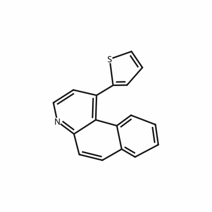 c1csc(-c2ccnc3ccc4ccccc4c23)c1